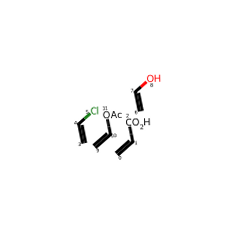 C=CC(=O)O.C=CCl.C=CO.C=COC(C)=O